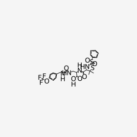 CC1(C)SC(S(=O)(=O)c2ccccc2)NC1C(=O)NC(CNC(=O)NCc1ccc(OC(F)(F)F)cc1)C(=O)O